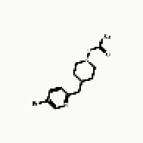 CC(C)(C)C(=O)ON1CCC(Cc2ccc(Br)cn2)CC1